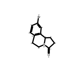 O=C1CCC2c3cc(Br)ccc3CCN12